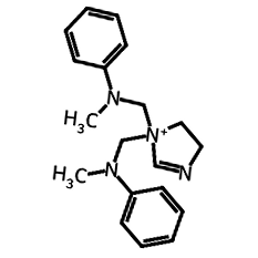 CN(C[N+]1(CN(C)c2ccccc2)C=NCC1)c1ccccc1